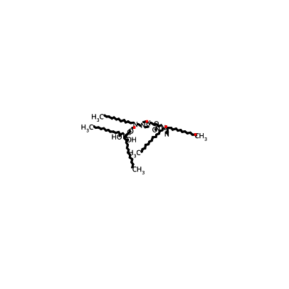 CCCCCCCCCCCCCCN(CCOCCN(CC(O)CCCCCCCCCCCC)CC(O)CCCCCCCCCCCC)CCN1CCN(CCOCCN(CC(C#N)CCCCCCCCCCCC)CC(CCCCCCCCCCCC)N=O)CC1